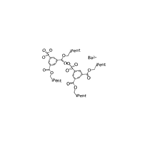 CCCC(C)COC(=O)c1cc(C(=O)OCC(C)CCC)cc(S(=O)(=O)[O-])c1.CCCC(C)COC(=O)c1cc(C(=O)OCC(C)CCC)cc(S(=O)(=O)[O-])c1.[Ba+2]